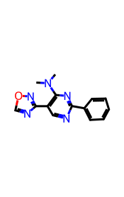 CN(C)c1nc(-c2ccccc2)ncc1-c1ncon1